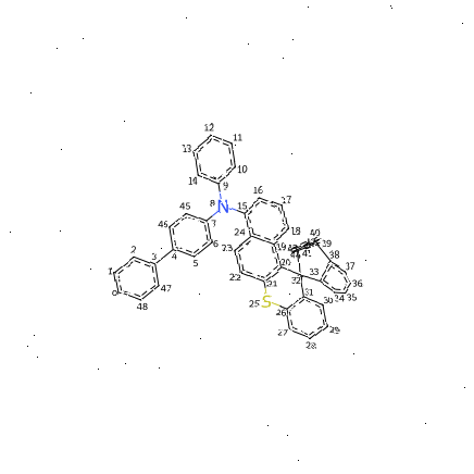 c1ccc(-c2ccc(N(c3ccccc3)c3cccc4c5c(ccc34)Sc3ccccc3C53c4ccccc4-c4ccccc43)cc2)cc1